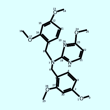 COc1ccc(CN(Cc2ccc(OC)cc2OC)c2nccc(OC)n2)c(OC)c1